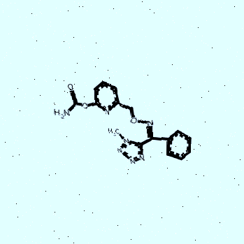 Cn1nnnc1/C(=N\OCc1cccc(OC(N)=O)n1)c1ccccc1